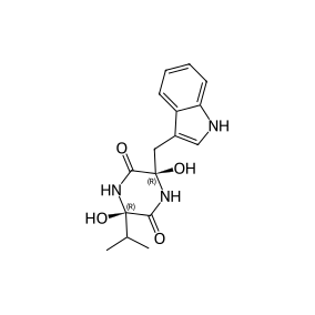 CC(C)[C@]1(O)NC(=O)[C@](O)(Cc2c[nH]c3ccccc23)NC1=O